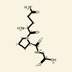 NC(=O)CC[C@@H](N)C(=O)N1CCC[C@@H]1C(=O)NCC(=O)O